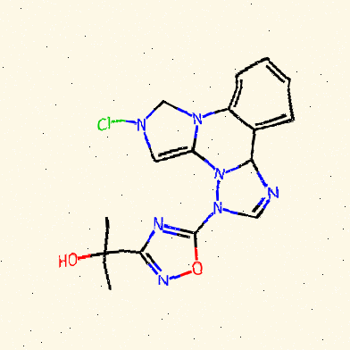 CC(C)(O)c1noc(N2C=NC3c4ccccc4N4CN(Cl)C=C4N32)n1